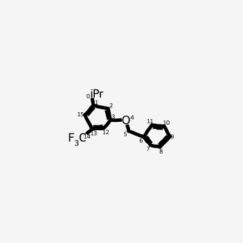 CC(C)c1cc(OCc2ccccc2)cc(C(F)(F)F)c1